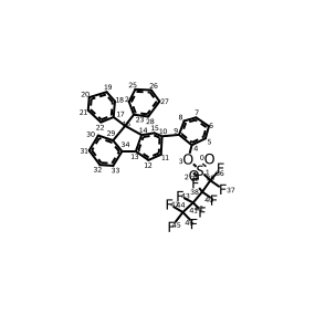 O=S(=O)(Oc1ccccc1-c1ccc2c(c1)C(c1ccccc1)(c1ccccc1)c1ccccc1-2)C(F)(F)C(F)(F)C(F)(F)C(F)(F)F